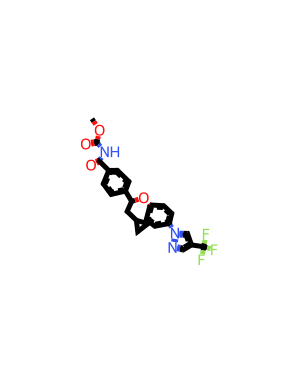 COC(=O)NC(=O)c1ccc(C(CC2CC2)Oc2ccc(-n3cc(C(F)(F)F)cn3)cc2)cc1